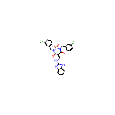 O=C1C(=CNc2nc3ccccc3[nH]2)C(=O)N(Cc2cccc(Cl)c2)S(=O)(=O)N1Cc1cccc(Cl)c1